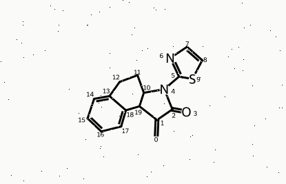 C=C1C(=O)N(c2nccs2)C2CCc3ccccc3C12